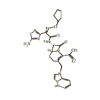 Nc1nc(/C(=N/OC2CCCC2)C(=O)N[C@@H]2C(=O)N3C(C(=O)O)=C(CN4C=CN5NC=CC=C45)CS[C@@H]23)ns1